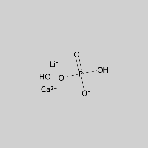 O=P([O-])([O-])O.[Ca+2].[Li+].[OH-]